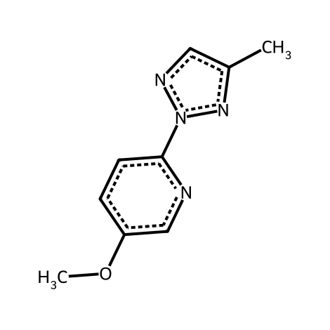 COc1ccc(-n2ncc(C)n2)nc1